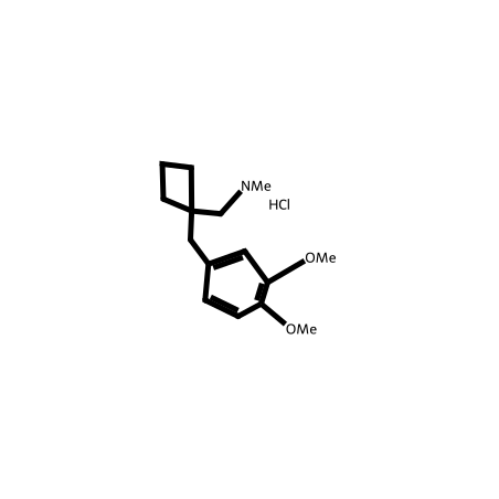 CNCC1(Cc2ccc(OC)c(OC)c2)CCC1.Cl